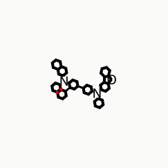 c1ccc(-c2cc(-c3ccc(N(c4ccccc4)c4ccc5oc6ccccc6c5c4)cc3)ccc2N(c2ccccc2)c2ccc3ccccc3c2)cc1